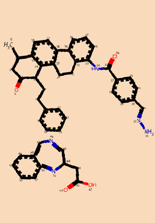 CC1CC(=O)C(CCc2ccccc2)c2c1ccc1c2CCc2c(NC(=O)c3ccc(C=NN)cc3)cccc2-1.O=C(O)CC1C=NC=c2ccccc2=N1